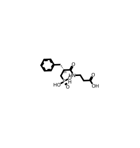 O=C(O)CCNC(=O)[C@@H](Cc1ccccc1)CP(=O)(O)O